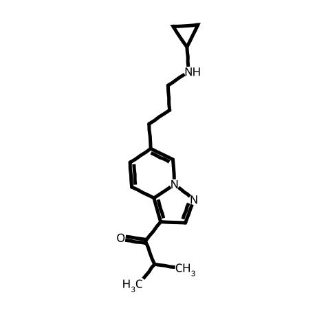 CC(C)C(=O)c1cnn2cc(CCCNC3CC3)ccc12